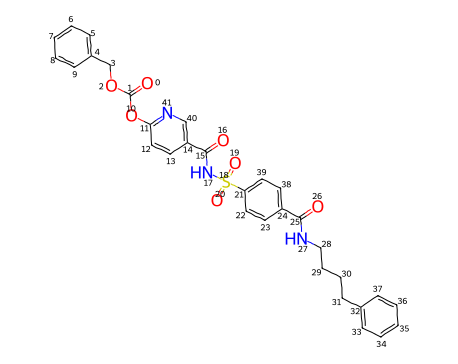 O=C(OCc1ccccc1)Oc1ccc(C(=O)NS(=O)(=O)c2ccc(C(=O)NCCCCc3ccccc3)cc2)cn1